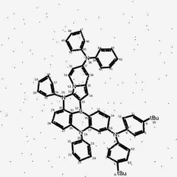 CC(C)(C)c1ccc(N(c2ccc(C(C)(C)C)cc2)c2ccc3c(c2)N(c2ccccc2)c2cccc4c2B3c2cc3cc(N(c5ccccc5)c5ccccc5)ccn3c2N4c2ccccc2)cc1